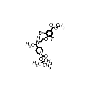 COC(=O)c1cc(F)c(OCCNC(C)C2CCN(C(=O)OC(C)(C)C)CC2)c(Br)c1